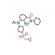 CCN(C(=O)c1cccc(N(C(C)=O)c2ccc(S(=O)(=O)CC3CC3)cc2)c1F)c1ccccc1